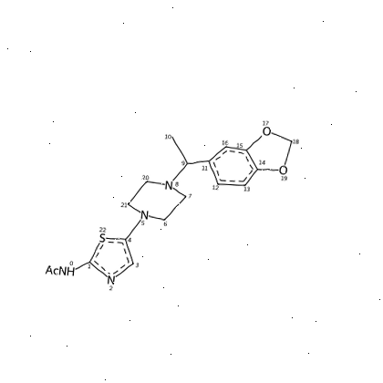 CC(=O)Nc1ncc(N2CCN(C(C)c3ccc4c(c3)OCO4)CC2)s1